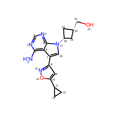 Nc1ncnc2c1c(-c1cc(C3CC3)on1)cn2[C@H]1C[C@@H](CO)C1